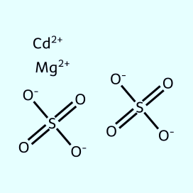 O=S(=O)([O-])[O-].O=S(=O)([O-])[O-].[Cd+2].[Mg+2]